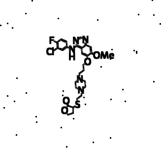 COc1cc2ncnc(Nc3ccc(F)c(Cl)c3)c2cc1OCCCN1CCN(CCSC2CCOC2=O)CC1